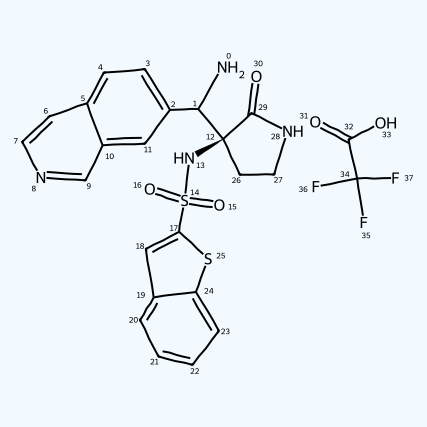 NC(c1ccc2ccncc2c1)[C@@]1(NS(=O)(=O)c2cc3ccccc3s2)CCNC1=O.O=C(O)C(F)(F)F